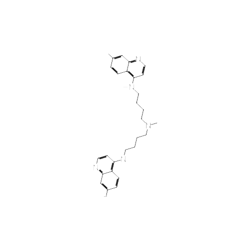 CN(CCCCNc1ccnc2cc(F)ccc12)CCCCNc1ccnc2cc(F)ccc12